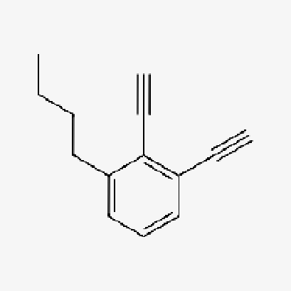 C#Cc1cccc(CCCC)c1C#C